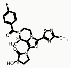 Cc1nsc(-c2nc(N3CC[C@@H](O)C3=O)c3n2CCN(C(=O)c2ccc(F)cc2)[C@@H]3C)n1